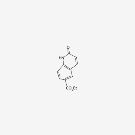 CCOC(=O)c1ccc2[nH]c(=O)ccc2c1